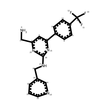 NCc1cc(-c2ccc(C(F)(F)F)cc2)nc(NCc2cccnc2)n1